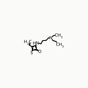 C=Cc1c(NCCCCN(CC)CCC)c(=O)c1=S